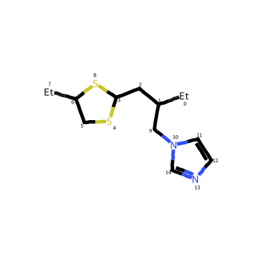 CCC(CC1SCC(CC)S1)Cn1ccnc1